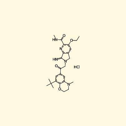 CCOc1cc2c(nc1C(=O)NC)C(=N)N(CC(=O)c1cc3c(c(C(C)(C)C)c1)OCCN3C)C2.Cl